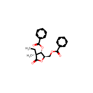 CC[C@]1(C)C(=O)O[C@H](COC(=O)c2ccccc2)[C@H]1OC(=O)c1ccccc1